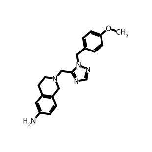 COc1ccc(Cn2ncnc2CN2CCc3cc(N)ccc3C2)cc1